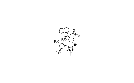 C[C@@H]1C[C@@H](NC2=NNN(C)N2Cc2cc(C(F)(F)F)cc(C(F)(F)F)c2)C[C@H](C(F)(F)F)[C@]1(CC(N)=O)C(=O)N1CCCc2ccccc21